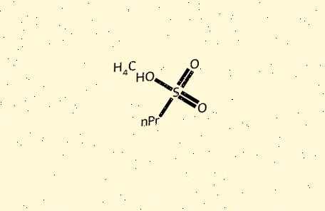 C.[CH2]CCS(=O)(=O)O